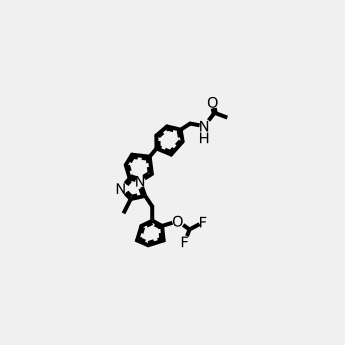 CC(=O)NCc1ccc(-c2ccc3nc(C)c(Cc4ccccc4OC(F)F)n3c2)cc1